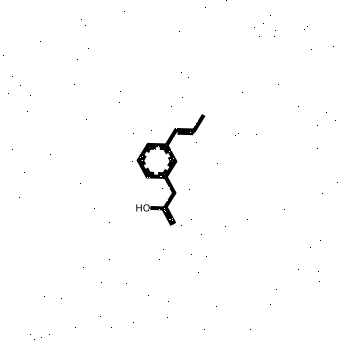 C=C(O)Cc1cccc(C=CC)c1